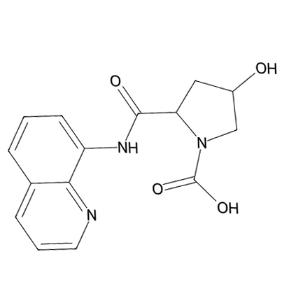 O=C(Nc1cccc2cccnc12)C1CC(O)CN1C(=O)O